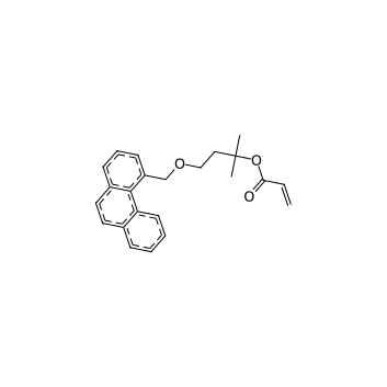 C=CC(=O)OC(C)(C)CCOCc1cccc2ccc3ccccc3c12